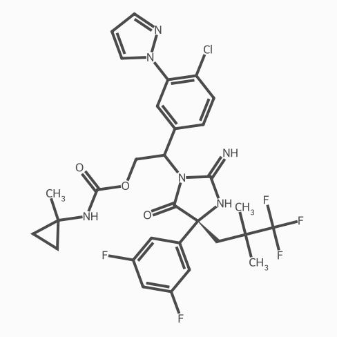 CC1(NC(=O)OCC(c2ccc(Cl)c(-n3cccn3)c2)N2C(=N)N[C@](CC(C)(C)C(F)(F)F)(c3cc(F)cc(F)c3)C2=O)CC1